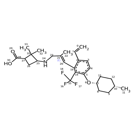 C=Cc1ccc(O[C@H]2CC[C@@H](C)CC2)c(C(F)(F)F)c1/C=C(\C)CNC1CC(C(=O)O)C1(C)C